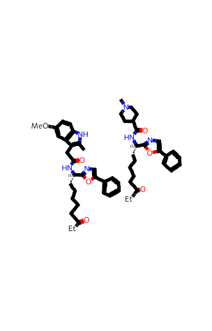 CCC(=O)CCCCC[C@H](NC(=O)C1CCN(C)CC1)c1ncc(-c2ccccc2)o1.CCC(=O)CCCCC[C@H](NC(=O)Cc1c(C)[nH]c2ccc(OC)cc12)c1ncc(-c2ccccc2)o1